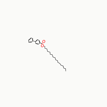 CCCCCCCCCCCCCCCCCCOC(=O)c1ccc(-c2ccccc2)cc1